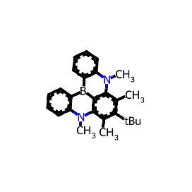 Cc1c2c3c(c(C)c1C(C)(C)C)N(C)c1ccccc1B3c1ccccc1N2C